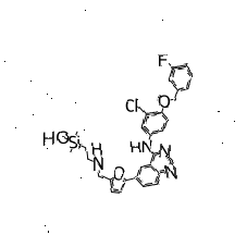 C[Si](C)(O)CCNCc1ccc(-c2ccc3ncnc(Nc4ccc(OCc5cccc(F)c5)c(Cl)c4)c3c2)o1